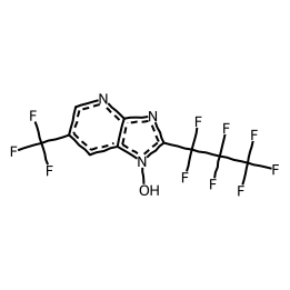 On1c(C(F)(F)C(F)(F)C(F)(F)F)nc2ncc(C(F)(F)F)cc21